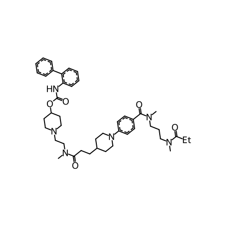 CCC(=O)N(C)CCCN(C)C(=O)c1ccc(N2CCC(CCC(=O)N(C)CCN3CCC(OC(=O)Nc4ccccc4-c4ccccc4)CC3)CC2)cc1